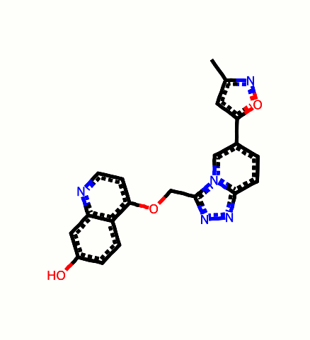 Cc1cc(-c2ccc3nnc(COc4ccnc5cc(O)ccc45)n3c2)on1